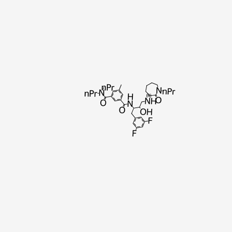 CCCN(CCC)C(=O)c1cc(C)cc(C(=O)NC(Cc2cc(F)cc(F)c2)C(O)CN[C@@H]2CCCCN(CCC)C2=O)c1